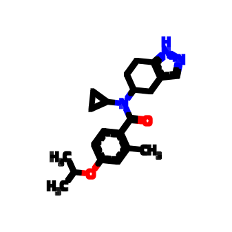 Cc1cc(OC(C)C)ccc1C(=O)N(C1CC1)C1CCc2[nH]ncc2C1